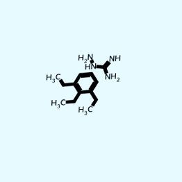 CCc1cccc(CC)c1CC.N=C(N)NN